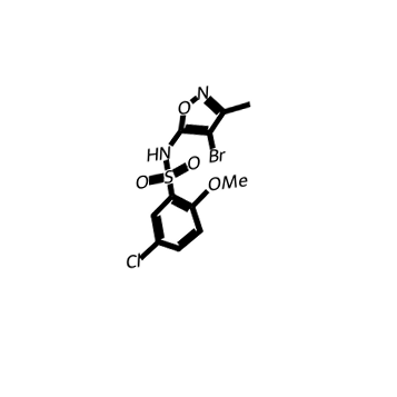 COc1ccc(Cl)cc1S(=O)(=O)Nc1onc(C)c1Br